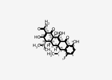 CC[C@H]1c2c(F)ccc(O)c2C(=O)C2=C(O)[C@]3(O)C(=O)C(C(N)=O)=C(O)[C@@H](N(C)C)[C@@H]3C[C@@H]21